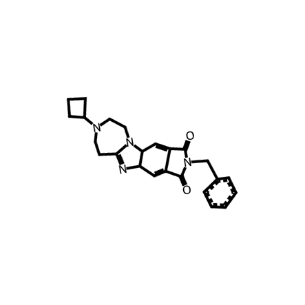 O=C1C2=CC3N=C4CCN(C5CCC5)CCN4C3C=C2C(=O)N1Cc1ccccc1